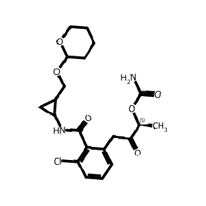 C[C@H](OC(N)=O)C(=O)Cc1cccc(Cl)c1C(=O)NC1CC1COC1CCCCO1